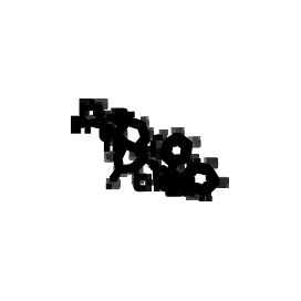 CC(C)[Si](O[C@H]1CC[C@H](C)[C@H]2[C@H](CO[Si](c3ccccc3)(c3ccccc3)C(C)(C)C)[C@H](C=O)[C@@H](C)C[C@H]21)(C(C)C)C(C)C